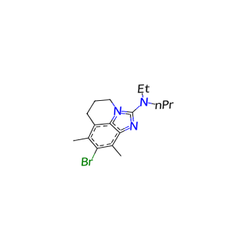 CCCN(CC)c1nc2c(C)c(Br)c(C)c3c2n1CCC3